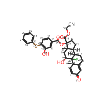 C[C@]12C=CC(=O)C=C1CC[C@H]1[C@@H]3CC[C@@](OC(=O)c4ccc(Sc5ccccc5)c(O)c4)(C(=O)OCC#N)[C@@]3(C)C[C@H](O)C12F